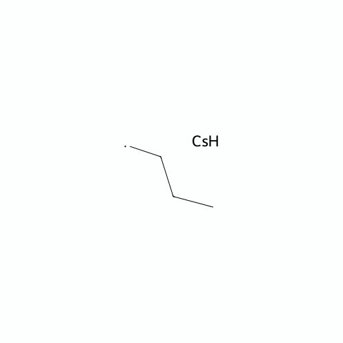 [CH2]CCC.[CsH]